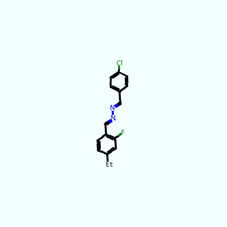 CCc1ccc(/C=N/N=C/c2ccc(Cl)cc2)c(F)c1